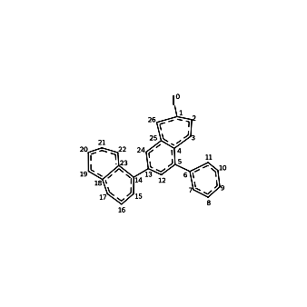 Ic1ccc2c(-c3ccccc3)cc(-c3cccc4ccccc34)cc2c1